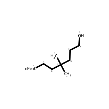 CCCCCC[CH]C(C)(C)CCCO